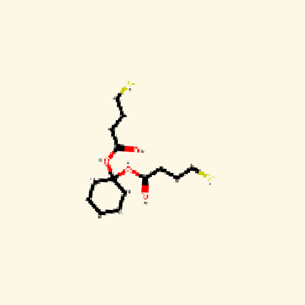 O=C(CCCS)OC1(OC(=O)CCCS)CCCCC1